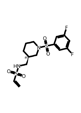 C=CS(=O)(=O)NC[C@H]1CCCN(S(=O)(=O)c2cc(F)cc(F)c2)C1